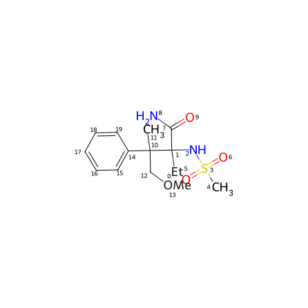 CCC(NS(C)(=O)=O)(C(N)=O)C(C)(COC)c1ccccc1